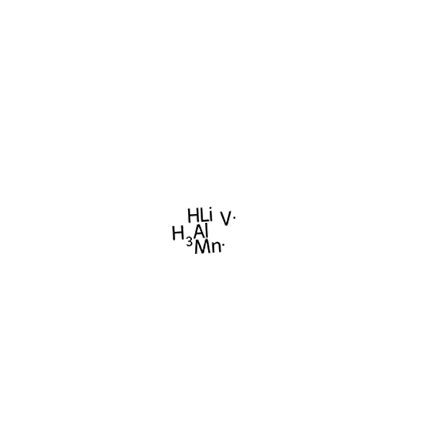 [AlH3].[LiH].[Mn].[V]